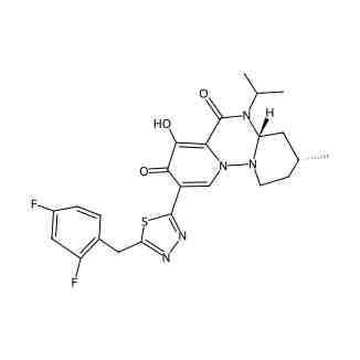 CC(C)N1C(=O)c2c(O)c(=O)c(-c3nnc(Cc4ccc(F)cc4F)s3)cn2N2CC[C@@H](C)C[C@@H]12